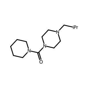 CC(C)CN1CCN(C(=O)N2CCCCC2)CC1